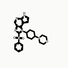 O=S(=O)(c1ccccc1)c1nc2cnc3[nH]ccc3c2n1C1CCC(N2CCOCC2)CC1